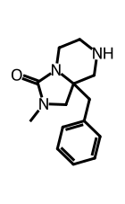 CN1CC2(Cc3ccccc3)CNCCN2C1=O